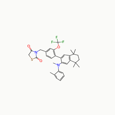 Cc1ccccc1N(C)c1cc2c(cc1-c1ccc(CN3C(=O)CSC3=O)cc1OC(F)(F)F)C(C)(C)CCC2(C)C